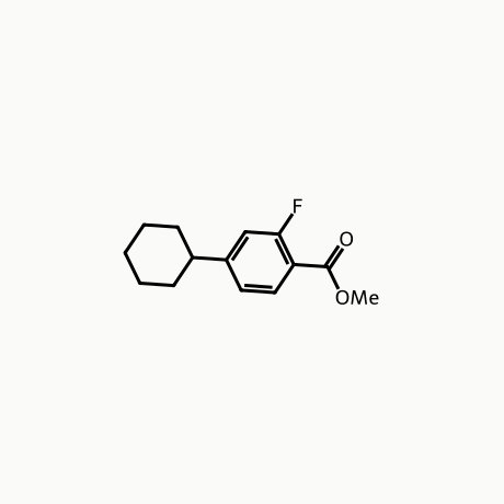 COC(=O)c1ccc(C2CCCCC2)cc1F